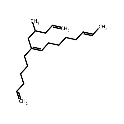 C=CCCCCC(=CCCCCC=CC)CC(C)CC=C